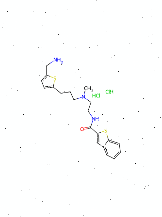 CN(CCCc1ccc(CN)s1)CCNC(=O)c1cc2ccccc2s1.Cl.Cl